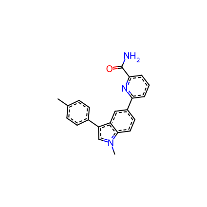 Cc1ccc(-c2cn(C)c3ccc(-c4cccc(C(N)=O)n4)cc23)cc1